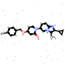 Cc1c(C2CC2)nc2ccc(-n3ccc(OCc4ccc(C(C)C)cc4)cc3=O)cn12